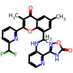 Cc1cc(C(C)Nc2cccnc2-c2noc(=O)[nH]2)c2oc(-c3cccc(C(F)F)n3)c(C)c(=O)c2c1